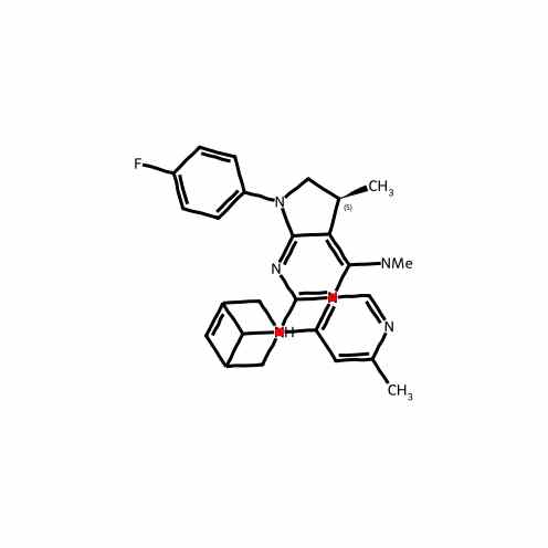 CNc1nc(NC2C3=CC2CN(c2cc(C)ncn2)C3)nc2c1[C@H](C)CN2c1ccc(F)cc1